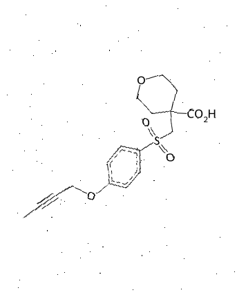 CC#CCOc1ccc(S(=O)(=O)CC2(C(=O)O)CCOCC2)cc1